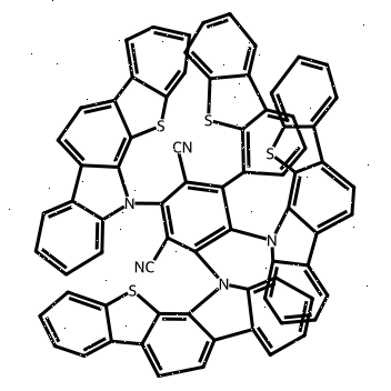 N#Cc1c(-c2cccc3c2sc2ccccc23)c(-n2c3ccccc3c3ccc4c5ccccc5sc4c32)c(-n2c3ccccc3c3ccc4c5ccccc5sc4c32)c(C#N)c1-n1c2ccccc2c2ccc3c4ccccc4sc3c21